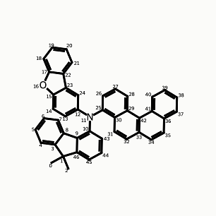 CC1(C)c2ccccc2-c2c(N(c3ccc4oc5ccccc5c4c3)c3cccc4c3ccc3ccc5ccccc5c34)cccc21